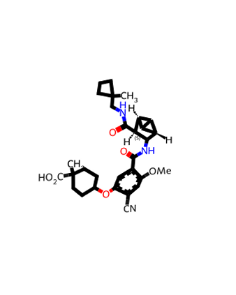 COc1cc(C#N)c(OC2CCC(C)(C(=O)O)CC2)cc1C(=O)NC1[C@H]2C3C2[C@H]3[C@@H]1C(=O)NCC1(C)CCC1